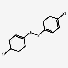 ClC1=CC=C(SSC2=CCC(Cl)CC2)CC1